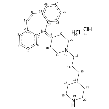 C1=Cc2ccccc2C(=C2CCN(CCCC3CCNCC3)CC2)c2ccccc21.Cl.Cl